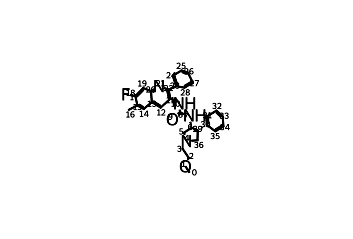 COCCN1C[C@@H](NC(=O)Nc2cc3cc(C)c(F)cc3nc2-c2ccccc2)[C@H](c2ccccc2)C1